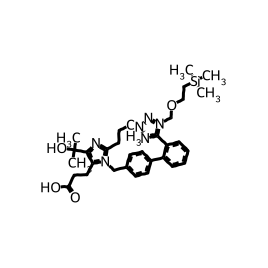 CCCc1nc(C(C)(C)O)c(CCC(=O)O)n1Cc1ccc(-c2ccccc2-c2nnnn2COCC[Si](C)(C)C)cc1